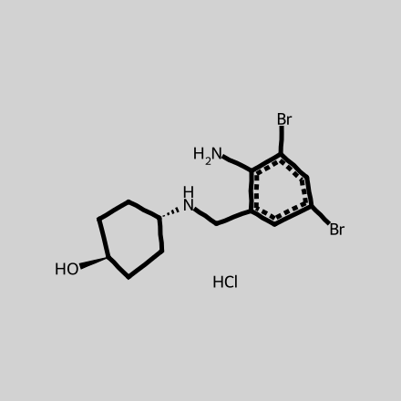 Cl.Nc1c(Br)cc(Br)cc1CN[C@H]1CC[C@H](O)CC1